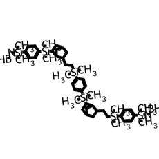 B=N[Si](C)(C)c1ccc([Si](C)(C)CCC2CC3CC2C([Si](C)(C)c2ccc([Si](C)(C)CCC4CC5CC4C([Si](C)(C)c4ccc([Si](C)(C)N=B)cc4)C5)cc2)C3)cc1